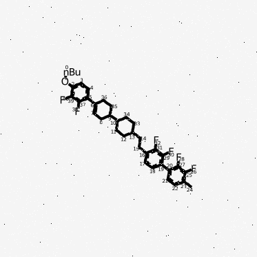 CCCCOc1ccc(C2=CCC(C3CCC(CCc4ccc(-c5ccc(C)c(F)c5F)c(F)c4F)CC3)CC2)c(F)c1F